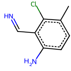 Cc1ccc(N)c(C=N)c1Cl